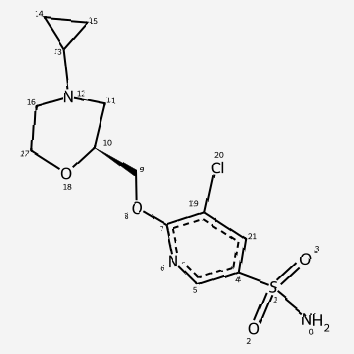 NS(=O)(=O)c1cnc(OC[C@@H]2CN(C3CC3)CCO2)c(Cl)c1